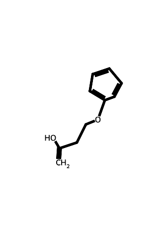 C=C(O)CCOc1ccccc1